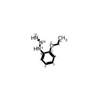 CCOc1ccccc1NN=N